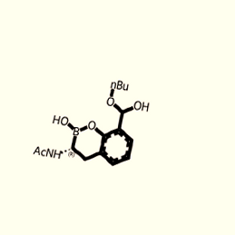 CCCCOC(O)c1cccc2c1OB(O)[C@@H](NC(C)=O)C2